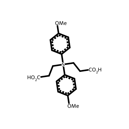 COc1ccc(S(CCC(=O)O)(CCC(=O)O)c2ccc(OC)cc2)cc1